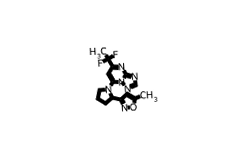 Cc1cc(C2CCCN2c2cc(C(C)(F)F)nc3ncnn23)no1